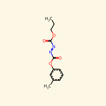 CCCOC(=O)N=NC(=O)Oc1cccc(C)c1